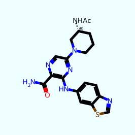 CC(=O)N[C@@H]1CCCN(c2cnc(C(N)=O)c(Nc3ccc4ncsc4c3)n2)C1